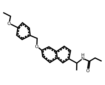 CCOc1ccc(COc2ccc3cc(C(C)NC(=O)CC)ccc3c2)cc1